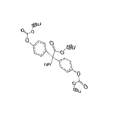 CCCC(C(=O)OC(C)(C)C)(c1ccc(OC(=O)OC(C)(C)C)cc1)c1ccc(OC(=O)OC(C)(C)C)cc1